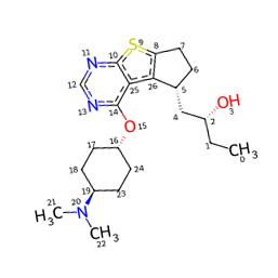 CC[C@@H](O)C[C@H]1CCc2sc3ncnc(O[C@H]4CC[C@H](N(C)C)CC4)c3c21